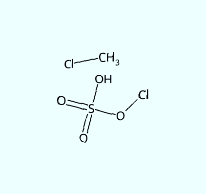 CCl.O=S(=O)(O)OCl